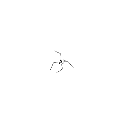 C[CH2][Al-]([CH2]C)([CH2]C)[CH2]C